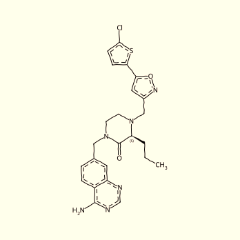 CCC[C@H]1C(=O)N(Cc2ccc3c(N)ncnc3c2)CCN1Cc1cc(-c2ccc(Cl)s2)on1